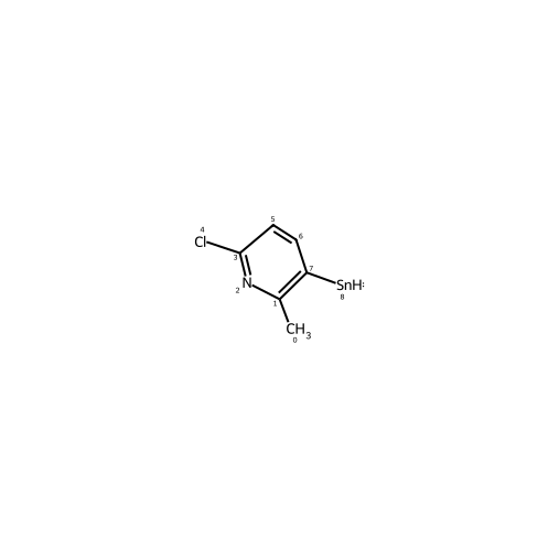 Cc1nc(Cl)cc[c]1[SnH]